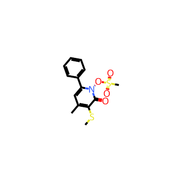 CSc1c(C)cc(-c2ccccc2)n(OS(C)(=O)=O)c1=O